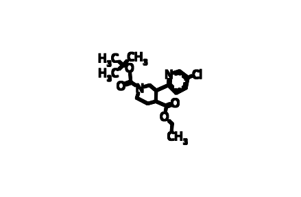 CCOC(=O)C1CCN(C(=O)OC(C)(C)C)CC1c1ccc(Cl)cn1